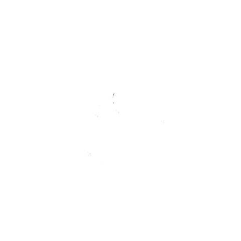 CCN(CC)CCCS(=O)(=O)N[C@H](COCc1ccccc1)C(=O)N1CCC2(CC1)CN(S(C)(=O)=O)c1ccccc12